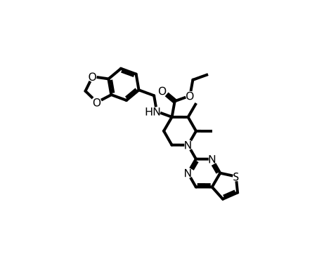 CCOC(=O)C1(NCc2ccc3c(c2)OCO3)CCN(c2ncc3ccsc3n2)C(C)C1C